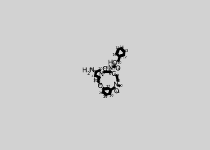 CN1CCC[C@H](NC(=O)OCc2ccccc2)C(=O)N2C[C@@H](N)C[C@H]2COc2cccc(c2)C1=O